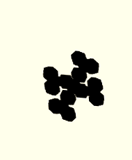 c1ccc2c(c1)c1ccccc1n2-c1ccc(-c2c3ccc(-n4c5ccccc5c5ccccc54)cc3c(-c3ccc(-n4c5ccccc5c5ccccc54)cc3)c3ccc(-n4c5ccccc5c5ccccc54)cc23)cc1